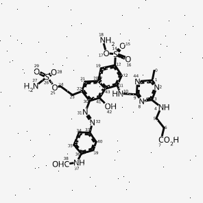 Cc1nc(NCCC(=O)O)nc(Nc2cc(S(=O)(=O)ON)cc3cc(CCOS(N)(=O)=O)c(N=Nc4ccc(NC=O)cc4)c(O)c23)n1